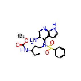 CC(C)(C)OC(=O)NC1CCC(N(c2c(N)cnc3[nH]ccc23)S(=O)(=O)c2ccccc2)C1